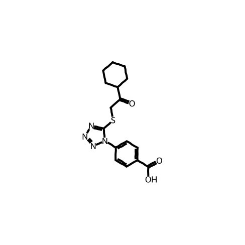 O=C(O)c1ccc(-n2nnnc2SCC(=O)C2CCCCC2)cc1